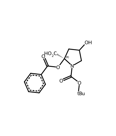 CC(C)(C)OC(=O)N1CC(O)C[C@@]1(OC(=O)c1ccccc1)C(=O)O